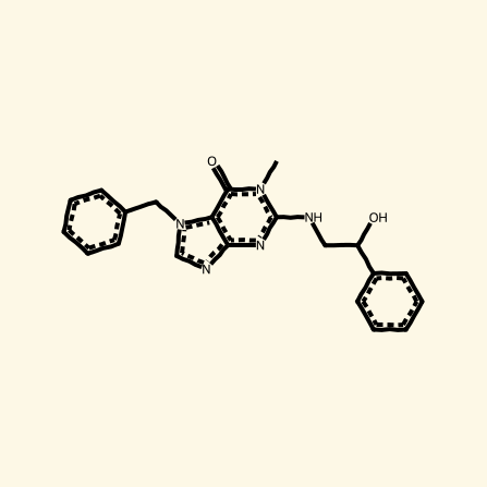 Cn1c(NCC(O)c2ccccc2)nc2ncn(Cc3ccccc3)c2c1=O